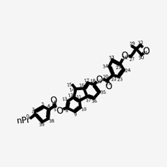 CCCc1ccc(C(=O)Oc2ccc3c(c2)C(C)c2cc(OC(=O)c4ccc(OCC5(C)COC5)cc4)ccc2-3)cc1